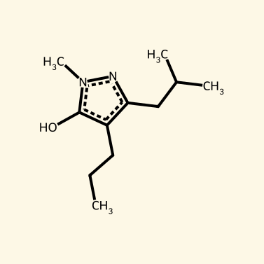 CCCc1c(CC(C)C)nn(C)c1O